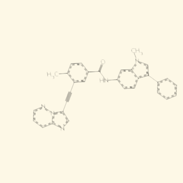 Cc1ccc(C(=O)Nc2ccc3c(-c4ccccc4)cn(C)c3c2)cc1C#Cc1cnc2cccnn12